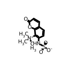 C[N+](C)(C)c1c(NS(=O)(=O)[O-])ccc2ccc(=O)oc12